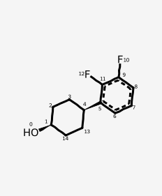 O[C@H]1CC[C@@H](c2cccc(F)c2F)CC1